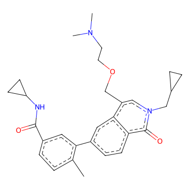 Cc1ccc(C(=O)NC2CC2)cc1-c1ccc2c(=O)n(CC3CC3)cc(COCCN(C)C)c2c1